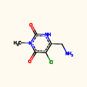 Cn1c(=O)[nH]c(CN)c(Cl)c1=O